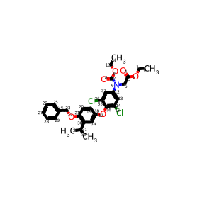 CCOC(=O)CN(C(=O)OCC)c1cc(Cl)c(Oc2ccc(OCc3ccccc3)c(C(C)C)c2)c(Cl)c1